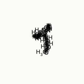 COc1cc2c(cc1OCc1cc(COc3cc4c(cc3OC)C(=O)N3c5ccccc5C[C@H]3C=N4)cc(NC(=O)CNC(=O)CNC(=O)CNC(=O)C3CCC(C(C)=O)CC3)c1)N=C[C@@H]1Cc3ccccc3N1C2=O